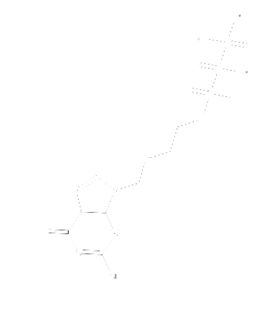 NC1=NC(=O)C2N=CN(COCCOP(=O)(O)P(=O)(O)P(=O)(O)O)C2N1